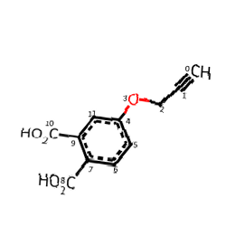 C#CCOc1ccc(C(=O)O)c(C(=O)O)c1